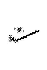 CCCCCCCCCCCCCCCC[N+](C)(C)CC(C)[Si](OC)(OC)OC.O=P([O-])(O)O